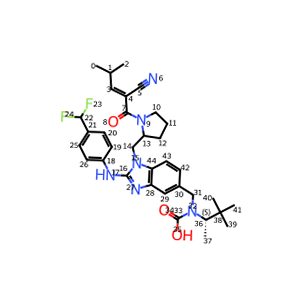 CC(C)C=C(C#N)C(=O)N1CCCC1Cn1c(Nc2ccc(C(F)F)cc2)nc2cc(CN(C(=O)O)[C@@H](C)C(C)(C)C)ccc21